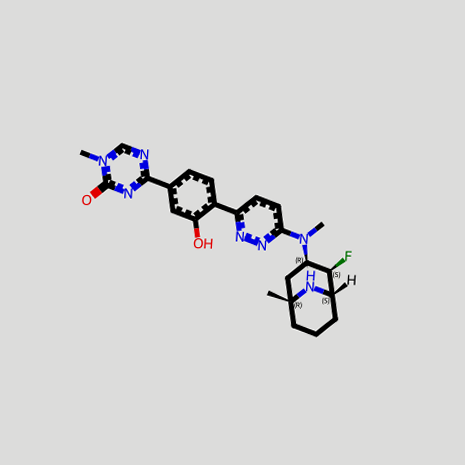 CN(c1ccc(-c2ccc(-c3ncn(C)c(=O)n3)cc2O)nn1)[C@@H]1C[C@@]2(C)CCC[C@H](N2)[C@@H]1F